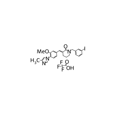 COc1cc(/C=C2\CCCN(Cc3cccc(I)c3)C2=O)ccc1-n1cnc(C)c1.O=C(O)C(F)(F)F